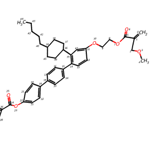 C=C(COC)C(=O)OCCOc1ccc(-c2ccc(-c3ccc(OC(=O)C(=C)COC)cc3)cc2)c(C2CCC(CCCCC)CC2)c1